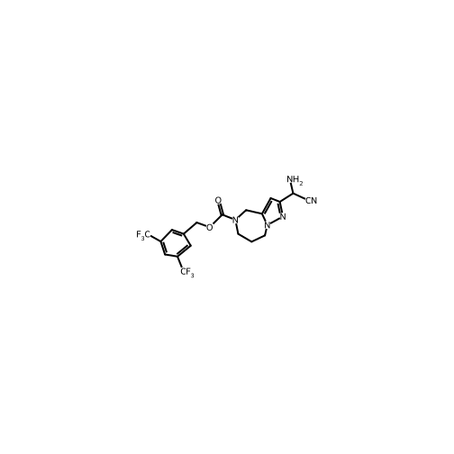 N#CC(N)c1cc2n(n1)CCCN(C(=O)OCc1cc(C(F)(F)F)cc(C(F)(F)F)c1)C2